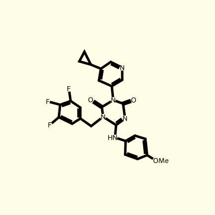 COc1ccc(Nc2nc(=O)n(-c3cncc(C4CC4)c3)c(=O)n2Cc2cc(F)c(F)c(F)c2)cc1